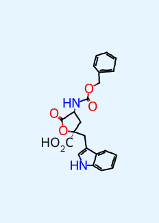 O=C(N[C@@H]1C[C@](Cc2c[nH]c3ccccc23)(C(=O)O)OC1=O)OCc1ccccc1